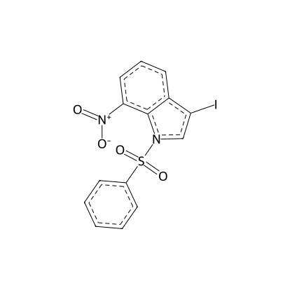 O=[N+]([O-])c1cccc2c(I)cn(S(=O)(=O)c3ccccc3)c12